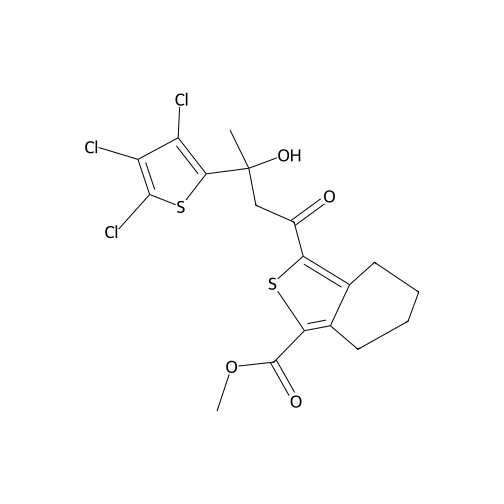 COC(=O)c1sc(C(=O)CC(C)(O)c2sc(Cl)c(Cl)c2Cl)c2c1CCCC2